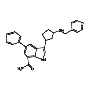 NC(=O)c1cc(-c2ccccc2)cc2c(C3CCC(NCc4ccccc4)C3)c[nH]c12